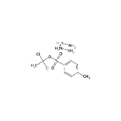 Cc1ccc(S(=O)(=O)OC(C)(Cl)Cl)cc1.NN.NN